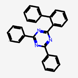 [c]1cccc(-c2nc(-c3ccccc3)nc(-c3ccccc3-c3ccccc3)n2)c1